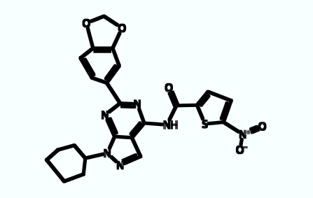 O=C(Nc1nc(-c2ccc3c(c2)OCO3)nc2c1cnn2C1CCCCC1)c1ccc([N+](=O)[O-])s1